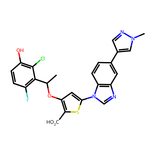 CC(Oc1cc(-n2cnc3cc(-c4cnn(C)c4)ccc32)sc1C(=O)O)c1c(F)ccc(O)c1Cl